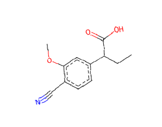 CCC(C(=O)O)c1ccc(C#N)c(OC)c1